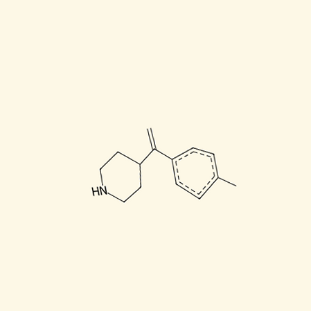 C=C(c1ccc(C)cc1)C1CCNCC1